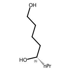 CCC[C@H](O)CCCCO